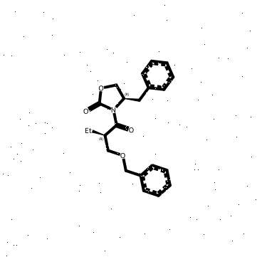 CC[C@H](COCc1ccccc1)C(=O)N1C(=O)OC[C@H]1Cc1ccccc1